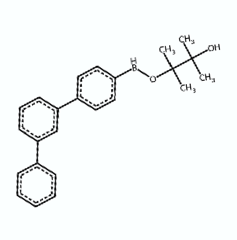 CC(C)(O)C(C)(C)OBc1ccc(-c2cccc(-c3ccccc3)c2)cc1